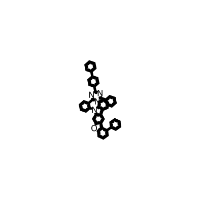 c1ccc(-c2ccc(-c3nc(-c4ccccc4)nc(-c4ccccc4-n4c5ccccc5c5cc6c(cc54)oc4cccc(-c5ccccc5)c46)n3)cc2)cc1